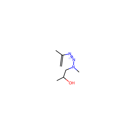 C=C(C)/N=N\N(C)CC(C)O